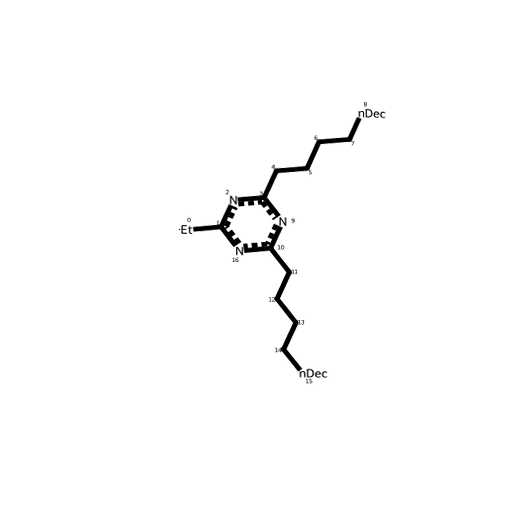 C[CH]c1nc(CCCCCCCCCCCCCC)nc(CCCCCCCCCCCCCC)n1